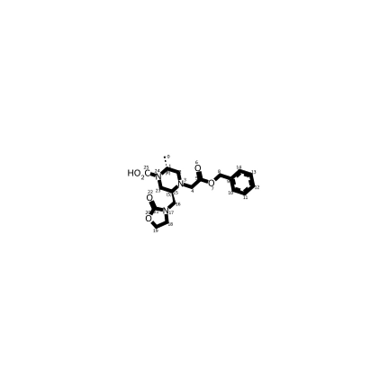 C[C@@H]1CN(CC(=O)OCc2ccccc2)[C@@H](CN2CCOC2=O)CN1C(=O)O